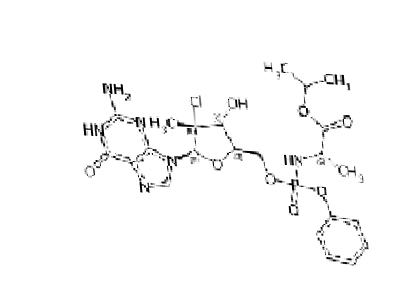 CC(C)OC(=O)[C@H](C)NP(=O)(OC[C@H]1O[C@@H](n2cnc3c(=O)[nH]c(N)nc32)[C@](C)(Cl)[C@@H]1O)Oc1ccccc1